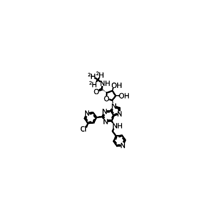 [2H]C([2H])([2H])NC(=O)[C@H]1O[C@@H](n2cnc3c(NCc4ccncc4)nc(-c4cncc(Cl)c4)nc32)[C@H](O)[C@@H]1O